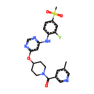 Cc1cncc(C(=O)N2CCC(Oc3cc(Nc4ccc(S(C)(=O)=O)cc4F)ncn3)CC2)c1